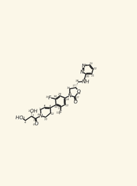 O=C([C@@H](O)CO)N1CC=C(c2c(F)cc(N3C[C@H](CNc4cccnn4)OC3=O)cc2F)CC1